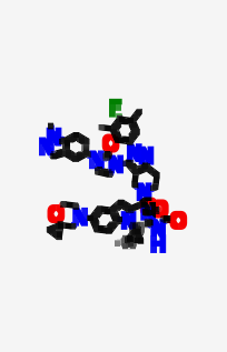 Cc1cc(-n2nc3c(c2-n2ccn(-c4ccc5c(cnn5C)c4)c2=O)CN(C(=O)c2cc4cc(N5CCOC6(CC6)C5)ccc4n2[C@@]2(c4noc(=O)[nH]4)C[C@@H]2C)CC3)cc(C)c1F